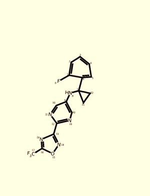 Fc1ccccc1C1(Nc2cnc(-c3noc(C(F)(F)F)n3)nc2)CC1